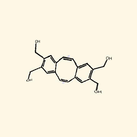 OCc1cc2c(cc1CO)/C=C\c1cc(CO)c(CO)cc1/C=C\2